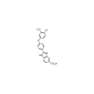 O=C(O)c1ccc2[nH]c(-c3ccc(Oc4ccc(Cl)c(C(F)(F)F)c4)cc3)nc2c1